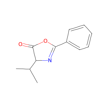 CC(C)C1N=C(c2ccccc2)OC1=O